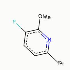 COc1nc(C(C)C)ccc1F